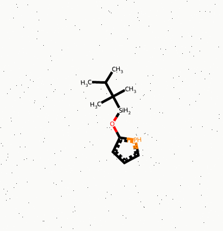 CC(C)C(C)(C)[SiH2]Oc1ccc[pH]1